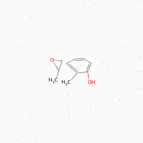 CC1CO1.Cc1ccccc1O